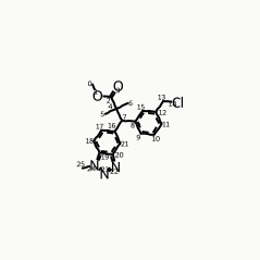 COC(=O)C(C)(C)C(c1cccc(CCl)c1)c1ccc2c(c1)nnn2C